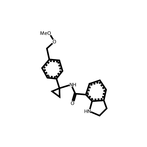 COOCc1ccc(C2(NC(=O)c3cccc4c3NCC4)CC2)cc1